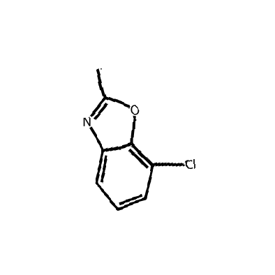 [CH2]c1nc2cccc(Cl)c2o1